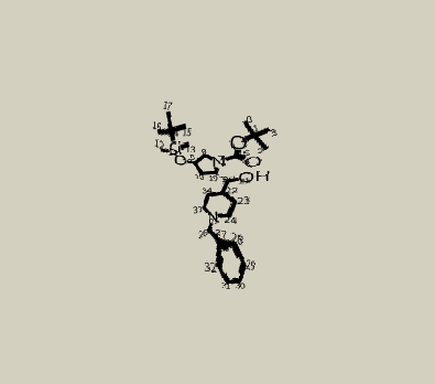 CC(C)(C)OC(=O)N1C[C@H](O[Si](C)(C)C(C)(C)C)C[C@H]1C(O)C1CCN(Cc2ccccc2)CC1